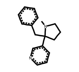 CN1CCCC1(Cc1ccccc1)c1cccnc1